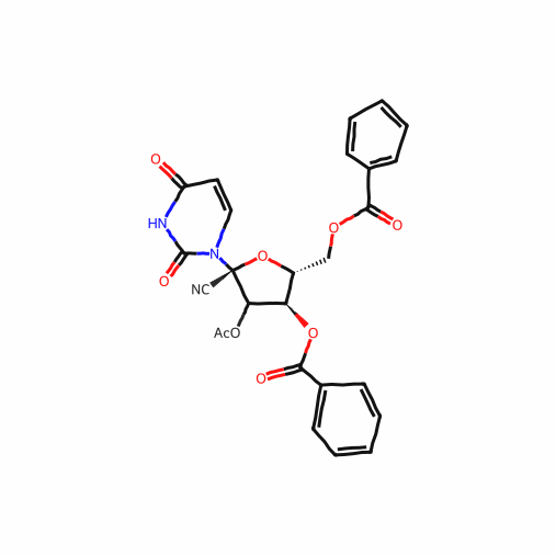 CC(=O)OC1[C@H](OC(=O)c2ccccc2)[C@@H](COC(=O)c2ccccc2)O[C@@]1(C#N)n1ccc(=O)[nH]c1=O